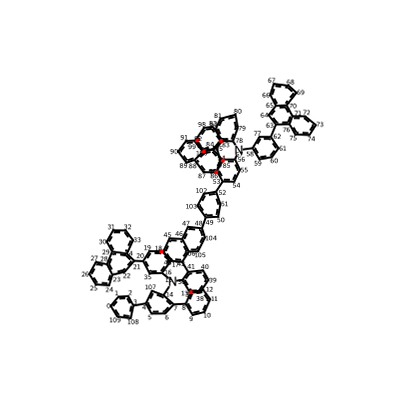 c1ccc(-c2ccc(-c3ccccc3)c(N(c3cccc(-c4cc5ccccc5c5ccccc45)c3)c3ccccc3-c3cccc4cc(-c5ccc(-c6ccc(N(c7cccc(-c8cc9ccccc9c9ccccc89)c7)c7ccccc7-c7cccc8ccccc78)c(-c7ccccc7)c6)cc5)ccc34)c2)cc1